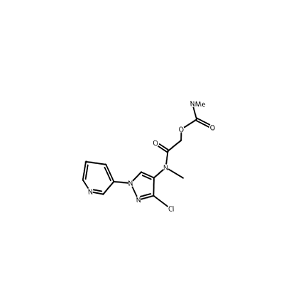 CNC(=O)OCC(=O)N(C)c1cn(-c2cccnc2)nc1Cl